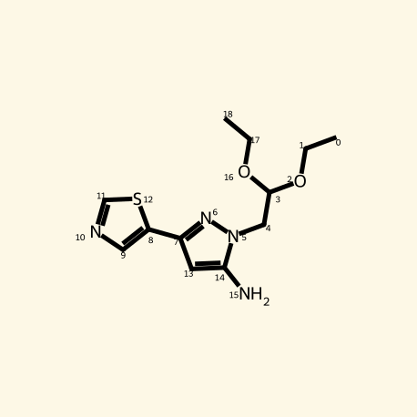 CCOC(Cn1nc(-c2cncs2)cc1N)OCC